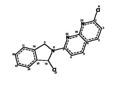 Clc1ccc2ccc(N3Cc4ccccc4C3Cl)nc2n1